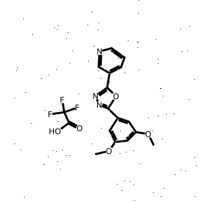 COc1cc(OC)cc(-c2nnc(-c3cccnc3)o2)c1.O=C(O)C(F)(F)F